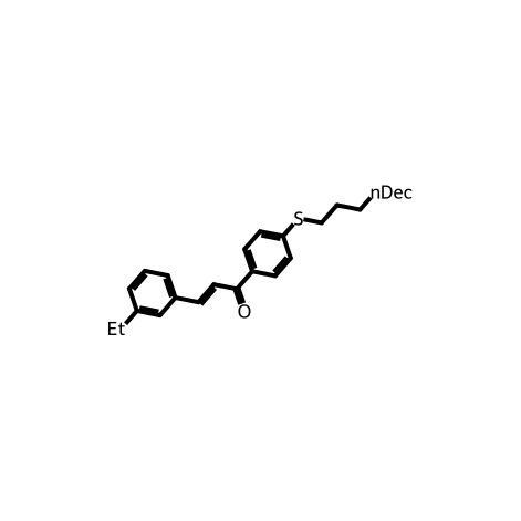 CCCCCCCCCCCCCSc1ccc(C(=O)C=Cc2cccc(CC)c2)cc1